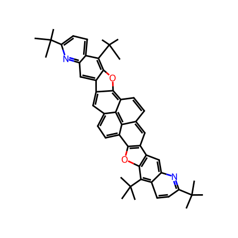 CC(C)(C)c1ccc2c(C(C)(C)C)c3oc4c(cc5ccc6c7oc8c(C(C)(C)C)c9ccc(C(C)(C)C)nc9cc8c7cc7ccc4c5c76)c3cc2n1